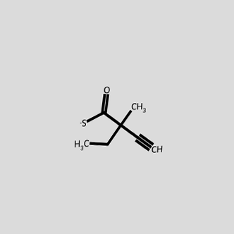 C#CC(C)(CC)C(=O)[S]